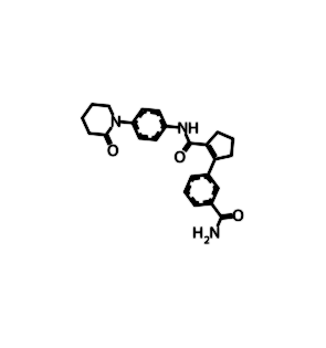 NC(=O)c1cccc(C2=C(C(=O)Nc3ccc(N4CCCCC4=O)cc3)CCC2)c1